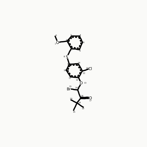 COc1ccccc1Sc1ccc(OC(Br)C(=O)C(C)(C)C)c(Cl)c1